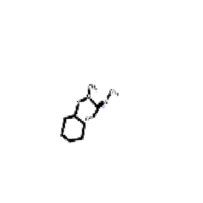 CCC/C(=N/C)N(C)SC1CCCCC1